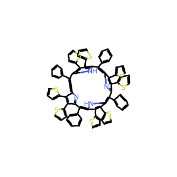 c1ccc(C2=C3N=C(C(c4cccs4)=C3c3cccs3)C(c3ccccc3)=c3[nH]c(c(-c4cccs4)c3-c3cccs3)=C(c3ccccc3)C3=NC(=C(c4ccccc4)c4[nH]c2c(-c2cccs2)c4-c2cccs2)C(c2cccs2)=C3c2cccs2)cc1